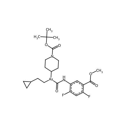 COC(=O)c1cc(NC(=O)[As](CCC2CC2)C2CCN(C(=O)OC(C)(C)C)CC2)c(F)cc1F